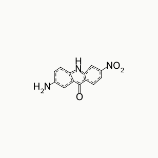 Nc1ccc2[nH]c3cc([N+](=O)[O-])ccc3c(=O)c2c1